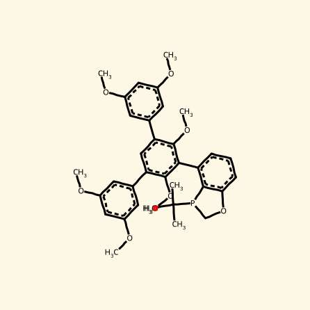 COc1cc(OC)cc(-c2cc(-c3cc(OC)cc(OC)c3)c(OC)c(-c3cccc4c3P(C(C)(C)C)CO4)c2OC)c1